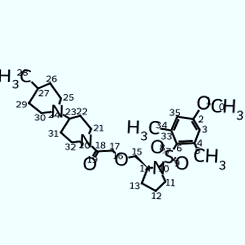 COc1cc(C)c(S(=O)(=O)N2CCC[C@H]2COCC(=O)N2CCC(N3CCC(C)CC3)CC2)c(C)c1